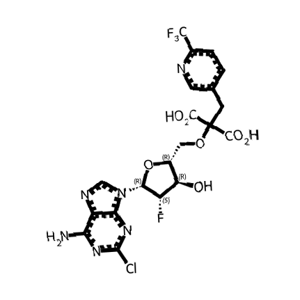 Nc1nc(Cl)nc2c1ncn2[C@@H]1O[C@H](COC(Cc2ccc(C(F)(F)F)nc2)(C(=O)O)C(=O)O)[C@@H](O)[C@@H]1F